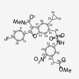 CNC(=O)c1c(-c2ccc(F)cc2)oc2cc(CS(=O)(=O)Nc3ccc([N+](=O)[O-])c(CC(=O)OC)c3)c(C3CC3)cc12